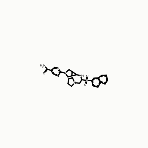 NC(=O)c1cnc(N2CC3C(C2)C3NC(CN2CCCC2)S(=O)(=O)c2ccc3ccccc3c2)nc1